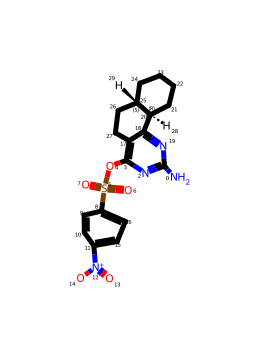 Nc1nc(OS(=O)(=O)c2ccc([N+](=O)[O-])cc2)c2c(n1)[C@@H]1CCCC[C@H]1CC2